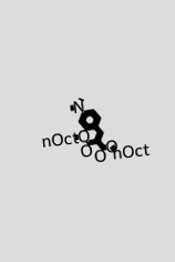 CCCCCCCCOC(=O)C(=Cc1ccc(N(C)C)cc1)C(=O)OCCCCCCCC